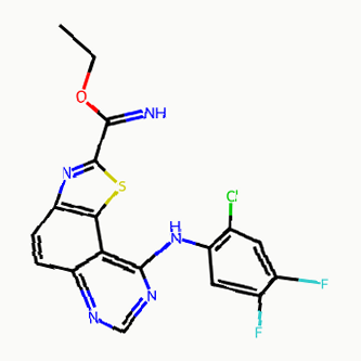 CCOC(=N)c1nc2ccc3ncnc(Nc4cc(F)c(F)cc4Cl)c3c2s1